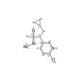 CS(=O)(=NC#N)C(CC1CC1)c1ccc(Cl)nc1